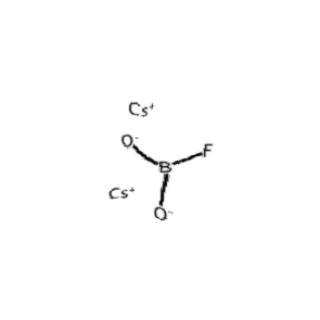 [Cs+].[Cs+].[O-]B([O-])F